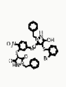 O=C1NN(Cc2ccccc2)C(=O)C1Sc1cc(Br)ccc1[N+](=O)[O-].O=c1c(Sc2ccccc2Br)c(O)[nH]n1Cc1ccccc1